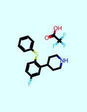 Fc1ccc(Sc2ccccc2)c(C2CCNCC2)c1.O=C(O)C(F)(F)F